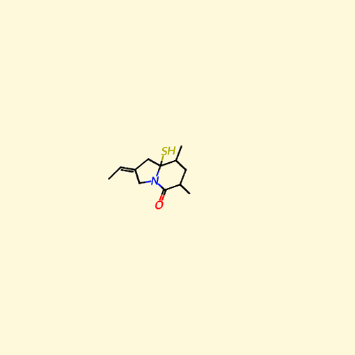 C/C=C1\CN2C(=O)C(C)CC(C)C2(S)C1